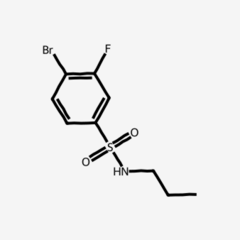 CCCNS(=O)(=O)c1ccc(Br)c(F)c1